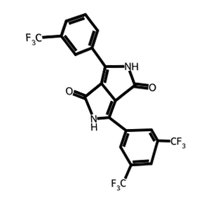 O=C1NC(c2cc(C(F)(F)F)cc(C(F)(F)F)c2)=C2C(=O)NC(c3cccc(C(F)(F)F)c3)=C12